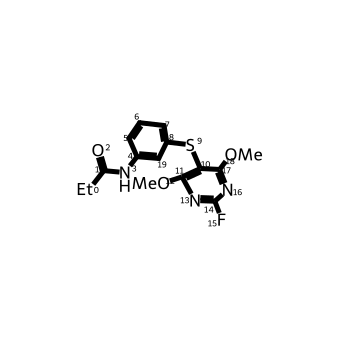 CCC(=O)Nc1cccc(Sc2c(OC)nc(F)nc2OC)c1